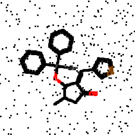 CC1CC(=O)C(=Cc2ccsc2)C1O[Si](c1ccccc1)(c1ccccc1)C(C)(C)C